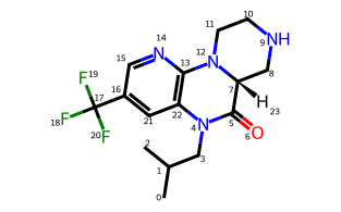 CC(C)CN1C(=O)[C@H]2CNCCN2c2ncc(C(F)(F)F)cc21